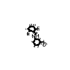 [O]Cc1cccc(NCc2c(F)cccc2F)c1